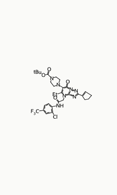 CCc1c(N2CCN(C(=O)OC(C)(C)C)CC2)c(=O)n2nc(C3=CCCC3)nc2n1CC(=O)Nc1ccc(C(F)(F)F)cc1Cl